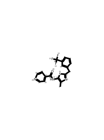 Cc1nc(Cc2cccc(C(F)(F)F)c2)sc1NC(=O)c1ccncc1